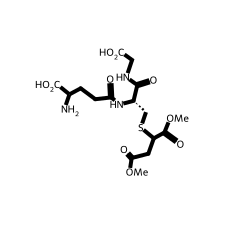 COC(=O)CC(SC[C@H](NC(=O)CCC(N)C(=O)O)C(=O)NCC(=O)O)C(=O)OC